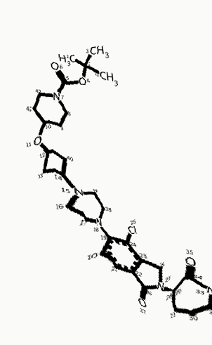 CC(C)(C)OC(=O)N1CCC(OC2CC(N3CCN(c4ccc5c(c4Cl)CN([C@@H]4CCC(=O)NC4=O)C5=O)CC3)C2)CC1